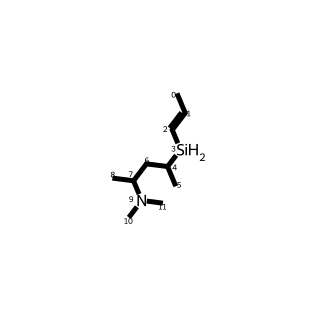 CC=C[SiH2]C(C)CC(C)N(C)C